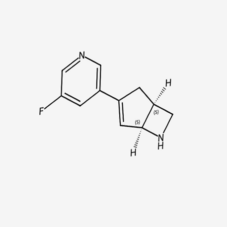 Fc1cncc(C2=C[C@@H]3NC[C@@H]3C2)c1